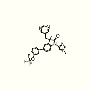 Cn1cnc(N2C(=O)C(C)(Cc3cncnc3)c3cc(-c4cccc(OC(F)(F)F)c4)ccc32)c1